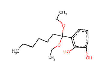 CCCCCCC(OCC)(OCC)c1cccc(O)c1O